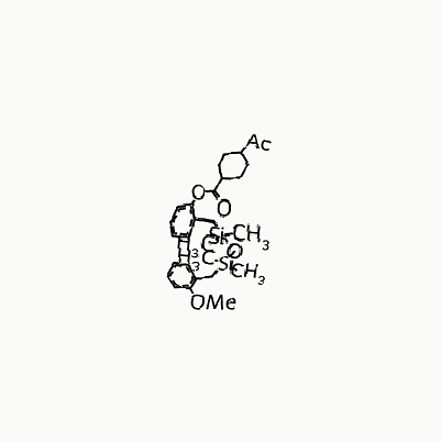 COc1ccccc1C[Si](C)(C)O[Si](C)(C)Cc1ccccc1OC(=O)C1CCC(C(C)=O)CC1